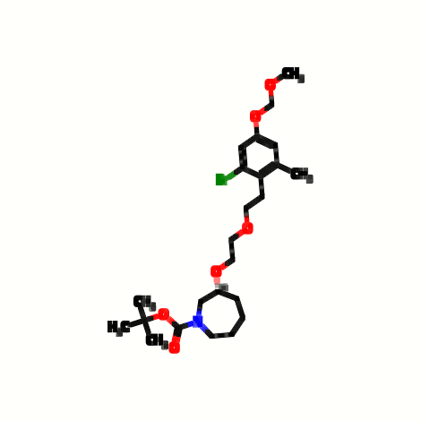 COCOc1cc(C)c(CCOCCO[C@@H]2CCCCN(C(=O)OC(C)(C)C)C2)c(Br)c1